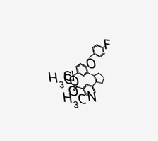 COC(=O)c1cc(C2=C(c3cc(Cl)ccc3OCc3ccc(F)cc3)CCC2)cnc1C